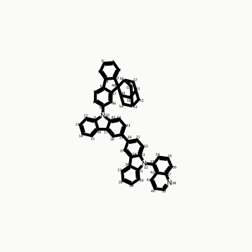 c1ccc2c(c1)-c1ccc(-n3c4ccccc4c4cc(-c5ccc6c(c5)c5ccccc5n6-c5cccc6ncccc56)ccc43)cc1C21C2CC3CC(C2)CC1C3